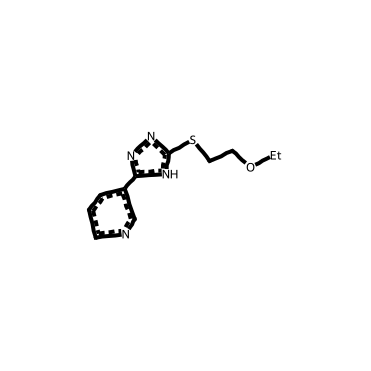 CCOCCSc1nnc(-c2cccnc2)[nH]1